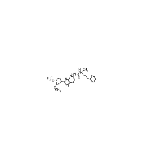 COc1ccc(-c2cnc3ccc(NC(=O)N[C@H](C)CCCc4ccccc4)nc3n2)cc1OC